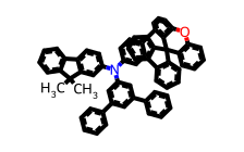 CC1(C)c2ccccc2-c2ccc(N(c3ccc(-c4cccc5c4C4(c6ccccc6O5)c5ccccc5-c5ccccc54)cc3)c3cc(-c4ccccc4)cc(-c4ccccc4)c3)cc21